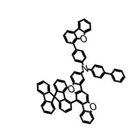 c1ccc(-c2ccc(N(c3ccc(-c4cccc5c4oc4ccccc45)cc3)c3ccc4oc5c(-c6cccc7c6-c6ccccc6C76c7ccccc7-c7ccccc76)c6c(cc5c4c3)oc3ccccc36)cc2)cc1